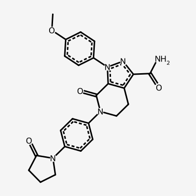 COc1ccc(-n2nc(C(N)=O)c3c2C(=O)N(c2ccc(N4CCCC4=O)cc2)CC3)cc1